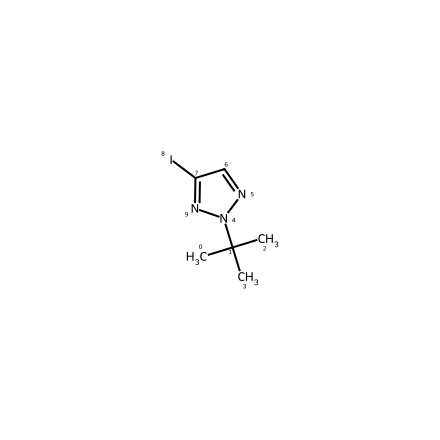 CC(C)(C)n1ncc(I)n1